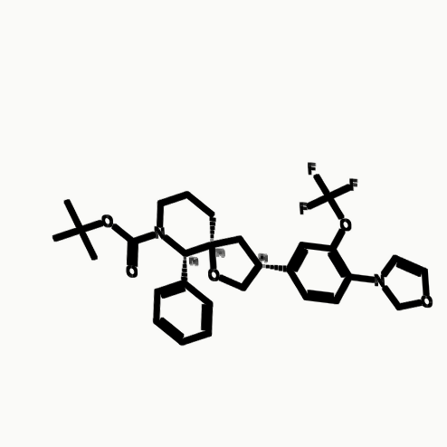 CC(C)(C)OC(=O)N1CCC[C@@]2(C[C@H](c3ccc(N4C=COC4)c(OC(F)(F)F)c3)CO2)[C@@H]1c1ccccc1